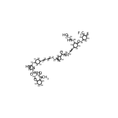 CN1C(=O)C(NC(=O)c2n[nH]c(Cc3ccc(C#CC#CCCn4cc(C(=O)NCCC#Cc5ccc(OCc6ccc(F)c(C(F)(F)F)c6)c(CNCCO)c5)cn4)cc3)n2)COc2ccccc21